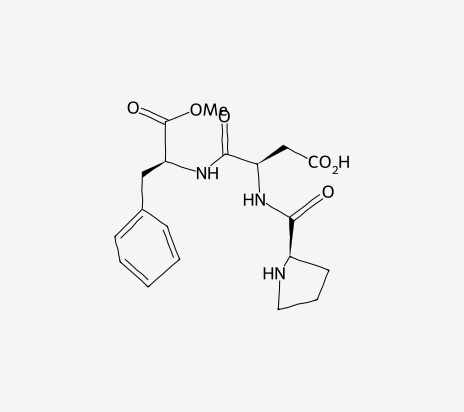 COC(=O)[C@H](Cc1ccccc1)NC(=O)[C@@H](CC(=O)O)NC(=O)[C@H]1CCCN1